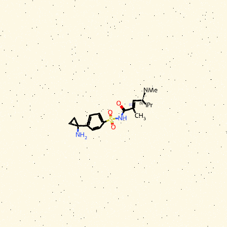 CN[C@H](/C=C(\C)C(=O)NS(=O)(=O)c1ccc(C2(N)CC2)cc1)C(C)C